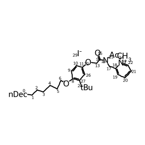 CCCCCCCCCCCCCCCCOc1ccc(OCC(=O)N(Cc2cccc[n+]2C)C(C)=O)cc1C(C)(C)C.[I-]